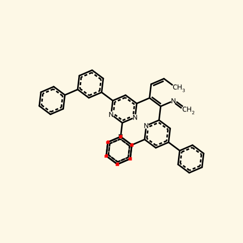 C=N/C(=C(\C=C/C)c1cc(-c2cccc(-c3ccccc3)c2)nc(-c2ccccc2)n1)c1cc(-c2ccccc2)cc(-c2ccccn2)n1